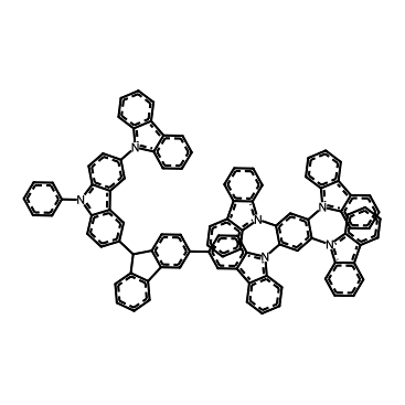 c1ccc(-n2c3ccc(C4c5ccccc5-c5cc(-c6ccc7c(c6)c6ccccc6n7-c6cc(-n7c8ccccc8c8ccccc87)c(-n7c8ccccc8c8ccccc87)cc6-n6c7ccccc7c7ccccc76)ccc54)cc3c3cc(-n4c5ccccc5c5ccccc54)ccc32)cc1